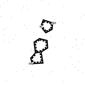 c1c[nH]cn1.c1ccc2c[nH]cc2c1